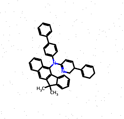 CC1(C)c2ccccc2-c2c1cc1ccccc1c2N(C1=NCC(C2=CCCC=C2)C=C1)c1ccc(-c2ccccc2)cc1